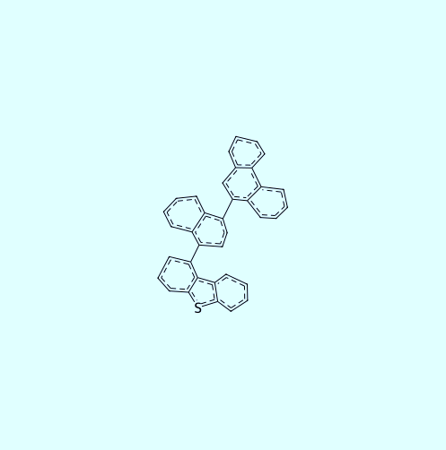 c1ccc2c(c1)cc(-c1ccc(-c3cccc4sc5ccccc5c34)c3ccccc13)c1ccccc12